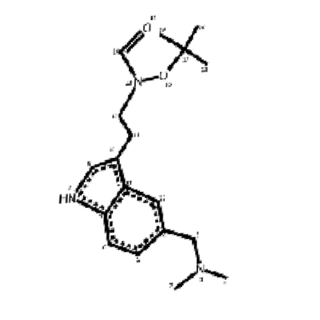 CN(C)Cc1ccc2[nH]cc(CCN(C=O)OC(C)(C)C)c2c1